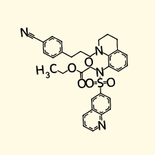 CCOC(=O)CN(c1cccc2c1N(C(=O)CCc1ccc(C#N)cc1)CCC2)S(=O)(=O)c1ccc2ncccc2c1